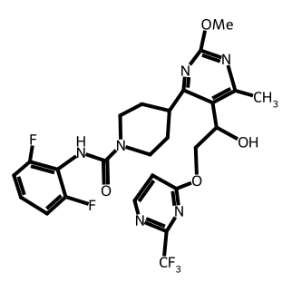 COc1nc(C)c(C(O)COc2ccnc(C(F)(F)F)n2)c(C2CCN(C(=O)Nc3c(F)cccc3F)CC2)n1